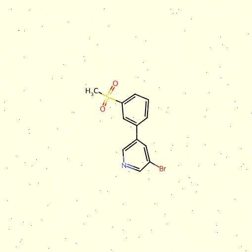 CS(=O)(=O)c1cccc(-c2cncc(Br)c2)c1